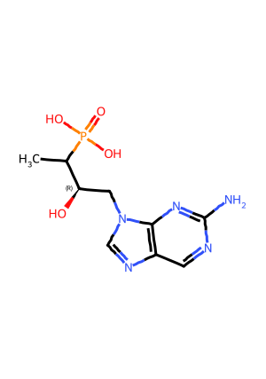 CC([C@H](O)Cn1cnc2cnc(N)nc21)P(=O)(O)O